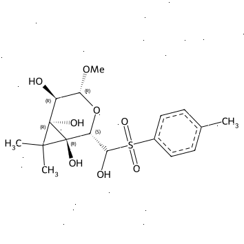 CO[C@@H]1O[C@H](C(O)S(=O)(=O)c2ccc(C)cc2)[C@]2(O)C(C)(C)[C@@]2(O)[C@H]1O